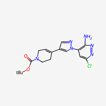 CC(C)(C)OC(=O)N1CC=C(c2cnn(-c3cc(Cl)nnc3N)c2)CC1